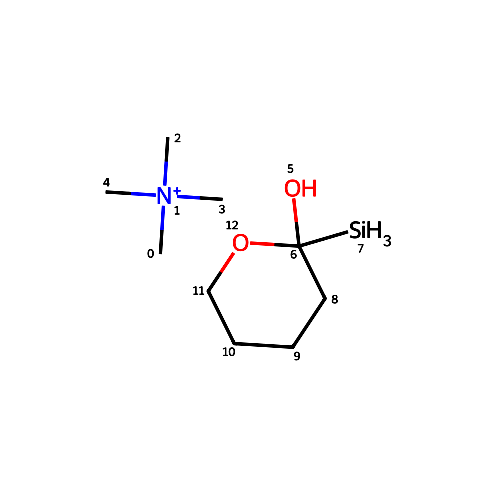 C[N+](C)(C)C.OC1([SiH3])CCCCO1